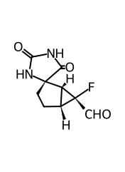 O=C[C@@]1(F)[C@@H]2CC[C@]3(NC(=O)NC3=O)[C@@H]21